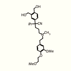 COCCOc1ccc(CCN(C)CCCC(C#N)(c2ccc(CO)c(CO)c2)C(C)C)cc1OC